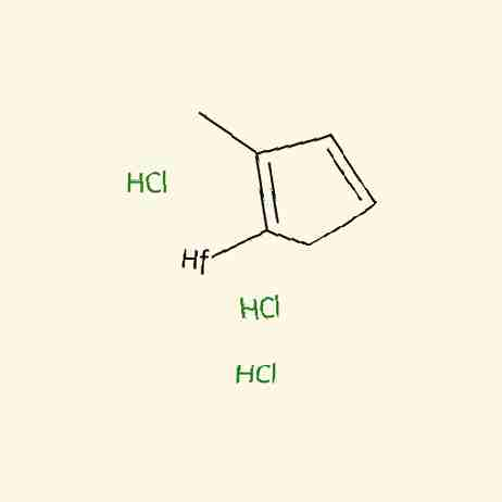 CC1=[C]([Hf])CC=C1.Cl.Cl.Cl